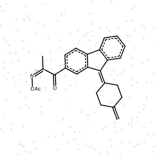 C=C1CCC(=C2c3ccccc3-c3ccc(C(=O)/C(C)=N\OC(C)=O)cc32)CC1